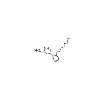 CCCCCCCCc1ccccc1CCC(N)CO